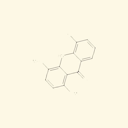 COc1ccc(OC)c2c(=O)c3cccc(C(=O)O)c3[nH]c12